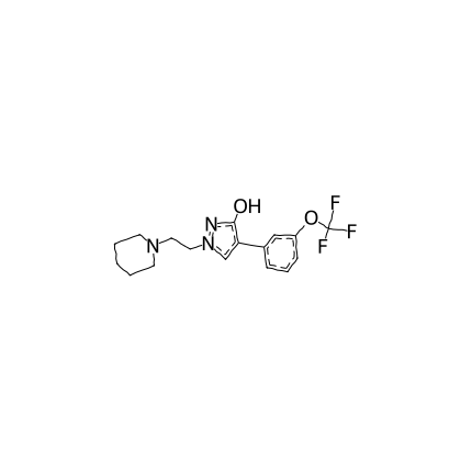 Oc1nn(CCN2CCCCC2)cc1-c1cccc(OC(F)(F)F)c1